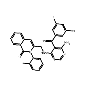 Cc1ccccc1-n1c(CNc2ncnc(N)c2C(=N)c2cc(O)cc(F)c2)cc2ccccc2c1=O